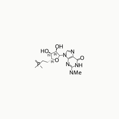 C=P(C)(C)CC[C@H]1OC(n2cnc3c(=O)[nH]c(NC)nc32)[C@H](O)[C@@H]1O